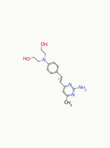 Cc1cc(/C=C/c2ccc(N(CCO)CCO)cc2)nc(N)n1